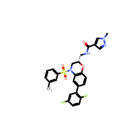 Cn1cc(C(=O)NC[C@H]2CN(S(=O)(=O)c3cccc(C(F)(F)F)c3)c3cc(-c4cc(F)ccc4F)ccc3O2)cn1